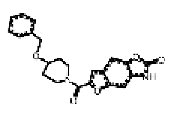 O=C(c1cc2cc3oc(=O)[nH]c3cc2o1)N1CCC(OCc2ccccc2)CC1